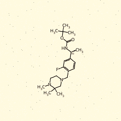 C[C@H](NC(=O)OC(C)(C)C)c1ccc(CN2CCN(C)C(C)(C)C2)c(F)c1